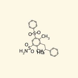 Cc1c(S(N)(=O)=O)cc(S(=O)(=O)c2ccccc2)c(C)c1CC(O)c1ccccc1